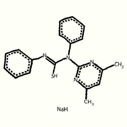 Cc1cc(C)nc(N(/C(S)=N/c2ccccc2)c2ccccc2)n1.[NaH]